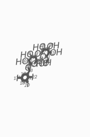 OC[C@H]1O[C@@H](O[C@H]2[C@H](O)[C@@H](O)[C@@H](OCc3cc(I)cc(I)c3I)O[C@@H]2CO)[C@H](O)[C@@H](O)[C@H]1O